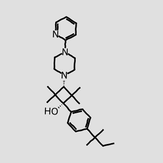 CCC(C)(C)c1ccc([C@]2(O)C(C)(C)[C@@H](N3CCN(c4ccccn4)CC3)C2(C)C)cc1